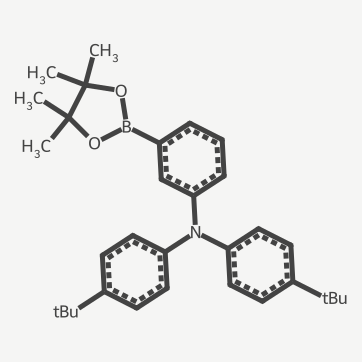 CC(C)(C)c1ccc(N(c2ccc(C(C)(C)C)cc2)c2cccc(B3OC(C)(C)C(C)(C)O3)c2)cc1